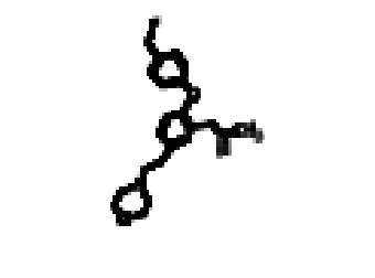 CNCc1cc(CCN2CCOCC2)ccc1Oc1ccc(CF)cc1